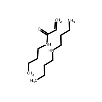 C=CC(=O)NCCCC.CCCCNCCCC